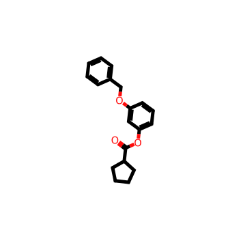 O=C(Oc1cccc(OCc2ccccc2)c1)C1CCCC1